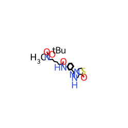 CN(CCCCCC(=O)Nc1cccc(C2=NNCC3C(=O)SCCN23)c1)C(=O)OC(C)(C)C